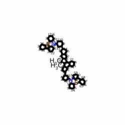 CC1(C)c2cc3cc(-c4cccc(N(c5ccccc5)c5cccc6c5sc5ccccc56)c4)ccc3cc2-c2c1c1ccc(-c3cccc(N(c4ccccc4)c4cccc5c4sc4ccccc45)c3)cc1c1ccccc21